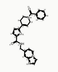 O=C(NCc1ccn2ccnc2c1)c1ccc(C2=CCN(C(=O)c3ccccc3)CC2)o1